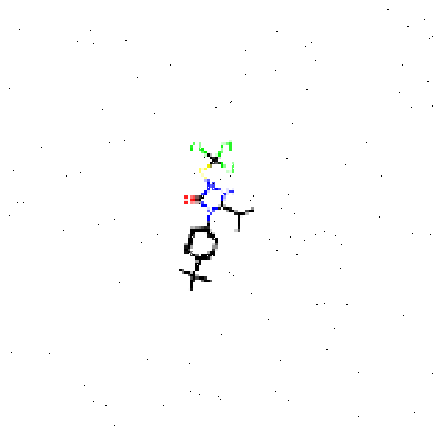 CC(C)C1NN(SC(Cl)(Cl)Cl)C(=O)N1c1ccc(C(C)(C)C)cc1